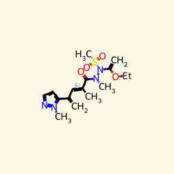 C=C(/C=C(\C)C(=O)N(C)N(C(=C)OCC)S(C)(=O)=O)c1ccnn1C